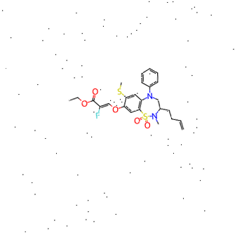 C=CCCC1CN(c2ccccc2)c2cc(SC)c(O/C=C(\F)C(=O)OCC)cc2S(=O)(=O)N1C